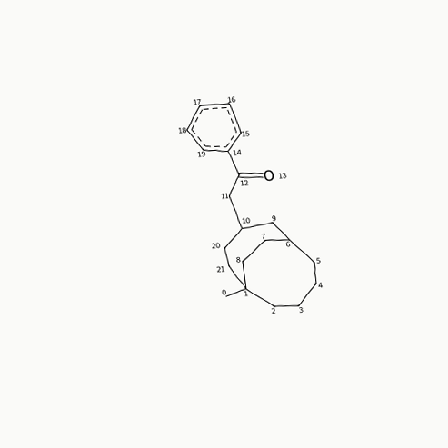 CC12CCCCC(CC1)CC(CC(=O)c1ccccc1)CC2